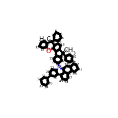 CC1(c2ccccc2)c2ccccc2Oc2c1ccc1c2-c2ccc(N(c3ccc(-c4ccccc4)cc3)c3cc4ccccc4c4ccccc34)cc2C1(C)c1ccccc1